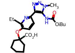 CCc1nc(-c2nnn(C)c2NC(=O)OCC(C)C)ccc1OC1(C(=O)O)CCCCC1